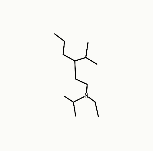 CCCC(CCN(CC)C(C)C)C(C)C